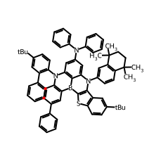 CC(C)(C)c1ccc(N2c3ccc(-c4ccccc4)cc3B3c4sc5ccc(C(C)(C)C)cc5c4N(c4ccc5c(c4)C(C)(C)CCC5(C)C)c4cc(N(c5ccccc5)c5ccccc5)cc2c43)c(-c2ccccc2)c1